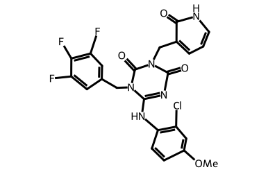 COc1ccc(Nc2nc(=O)n(Cc3ccc[nH]c3=O)c(=O)n2Cc2cc(F)c(F)c(F)c2)c(Cl)c1